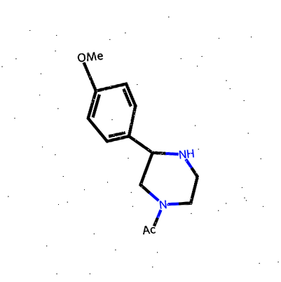 COc1ccc(C2CN(C(C)=O)CCN2)cc1